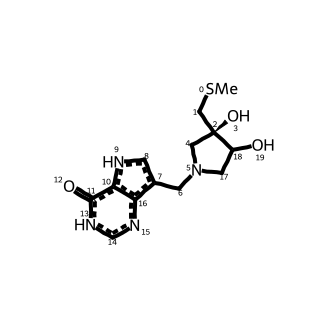 CSC[C@@]1(O)CN(Cc2c[nH]c3c(=O)[nH]cnc23)CC1O